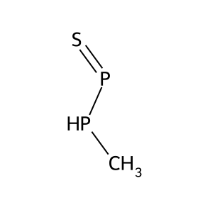 CPP=S